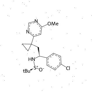 COc1cc(C2(C[C@H](N[S@@+]([O-])C(C)(C)C)c3ccc(Cl)cc3)CC2)ncn1